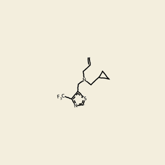 C=CCN(Cc1s[c]nc1C(F)(F)F)CC1CC1